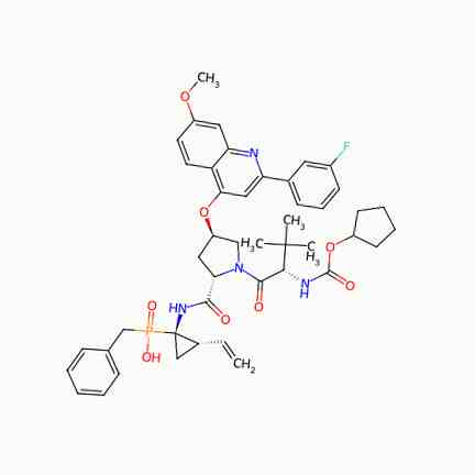 C=C[C@@H]1C[C@]1(NC(=O)[C@@H]1C[C@@H](Oc2cc(-c3cccc(F)c3)nc3cc(OC)ccc23)CN1C(=O)[C@@H](NC(=O)OC1CCCC1)C(C)(C)C)P(=O)(O)Cc1ccccc1